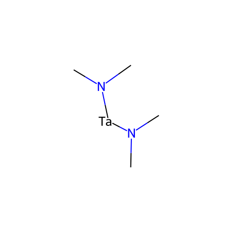 C[N](C)[Ta][N](C)C